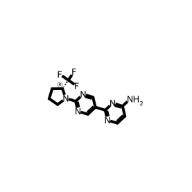 Nc1ccnc(-c2cnc(N3CCC[C@@H]3C(F)(F)F)nc2)n1